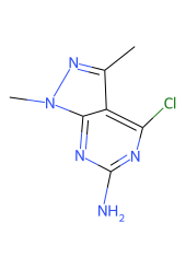 Cc1nn(C)c2nc(N)nc(Cl)c12